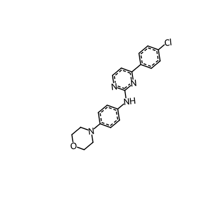 Clc1ccc(-c2ccnc(Nc3ccc(N4CCOCC4)cc3)n2)cc1